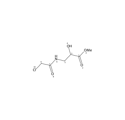 COC(=O)C(O)CNC(=O)CCl